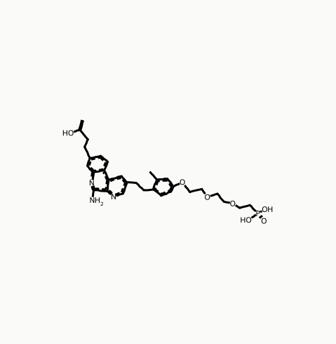 C=C(O)CCc1ccc2c(c1)nc(N)c1ncc(CCc3ccc(OCCOCCOCCP(=O)(O)O)cc3C)cc12